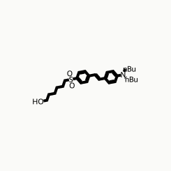 CCCCN(CCCC)c1ccc(C=Cc2ccc(S(=O)(=O)CCCCCCO)cc2)cc1